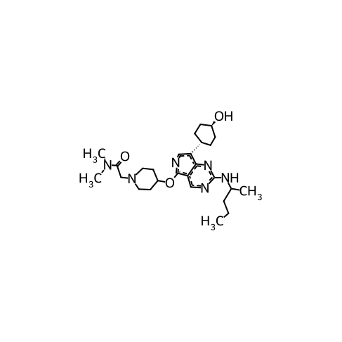 CCCC(C)Nc1ncc2c(OC3CCN(CC(=O)N(C)C)CC3)ncc([C@H]3CC[C@H](O)CC3)c2n1